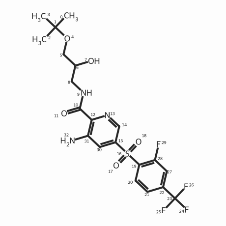 CC(C)(C)OCC(O)CNC(=O)c1ncc(S(=O)(=O)c2ccc(C(F)(F)F)cc2F)cc1N